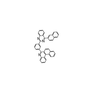 c1cc(-c2nc(-c3ccc4ccccc4c3)c3ccccc3n2)cc(-c2nc3ccccc3c3c2ccc2ccccc23)c1